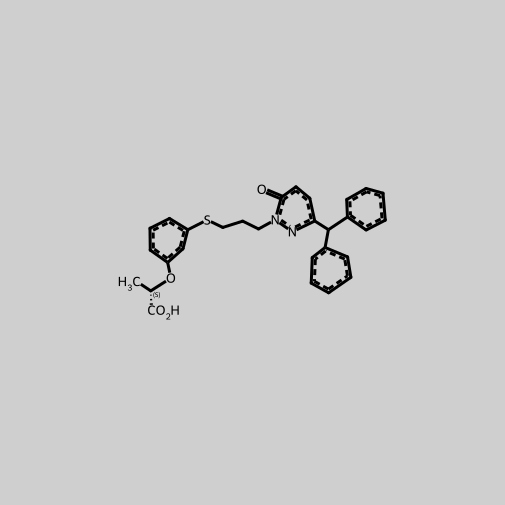 C[C@H](Oc1cccc(SCCCn2nc(C(c3ccccc3)c3ccccc3)ccc2=O)c1)C(=O)O